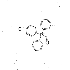 O=C[P+](c1ccccc1)(c1ccccc1)c1ccccc1.[Cl-]